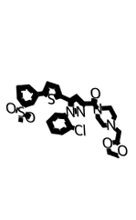 CS(=O)(=O)c1cccc(-c2ccc(-c3cc(C(=O)N4CCN(CC5OCCO5)CC4)nn3-c3ccccc3Cl)s2)c1